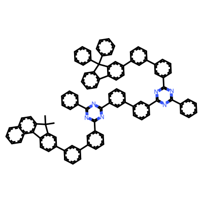 CC1(C)c2cc(-c3cccc(-c4cccc(-c5nc(-c6ccccc6)nc(-c6cccc(-c7cccc(-c8nc(-c9ccccc9)nc(-c9cccc(-c%10cccc(-c%11ccc%12c(c%11)C(c%11ccccc%11)(c%11ccccc%11)c%11ccccc%11-%12)c%10)c9)n8)c7)c6)n5)c4)c3)ccc2-c2c1ccc1ccccc21